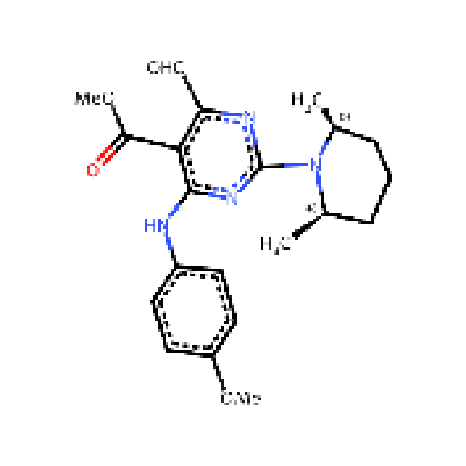 COC(=O)c1c(C=O)nc(N2[C@H](C)CCC[C@@H]2C)nc1Nc1ccc(OC)cc1